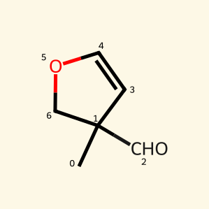 CC1(C=O)C=COC1